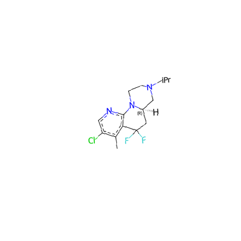 Cc1c(Cl)cnc2c1C(F)(F)C[C@@H]1CN(C(C)C)CCN21